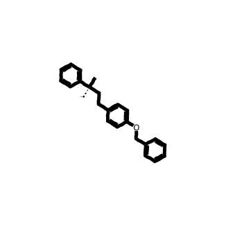 [CH2][C@](C)(CCc1ccc(OCc2ccccc2)cc1)c1ccccc1